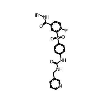 CC(C)NC(=O)c1ccc(F)c(S(=O)(=O)c2ccc(NC(=O)NCc3cccnc3)cc2)c1